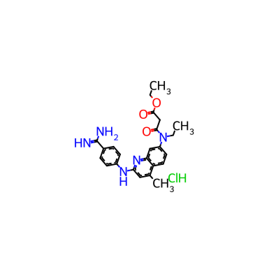 CCOC(=O)CC(=O)N(CC)c1ccc2c(C)cc(Nc3ccc(C(=N)N)cc3)nc2c1.Cl